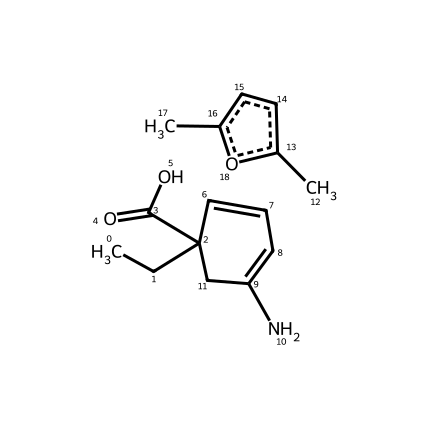 CCC1(C(=O)O)C=CC=C(N)C1.Cc1ccc(C)o1